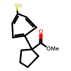 COC(=O)C1(c2ccc(S)cc2)CCCC1